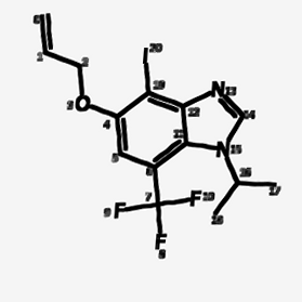 C=CCOc1cc(C(F)(F)F)c2c(ncn2C(C)C)c1I